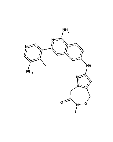 Cc1c(N)cncc1-c1cc2cc(Nc3cc4n(n3)CC(=O)N(C)OC4)ncc2c(N)n1